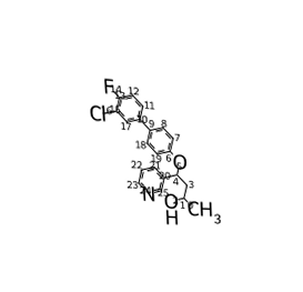 CC(O)CC(Oc1ccc(-c2ccc(F)c(Cl)c2)cc1)c1cccnc1